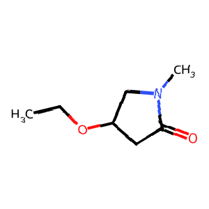 CCOC1CC(=O)N(C)C1